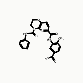 Cc1ccc(C(=O)O)cc1NC(=O)c1ccc2c(n1)N(C(=O)Nc1ccccc1)CCO2